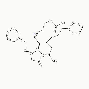 CN(CCCCCc1ccccc1)[C@@H]1C(=O)C[C@@H](OCc2ccccc2)[C@H]1C/C=C\CCCC(=O)O